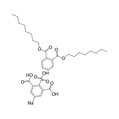 CCCCCCCCOC(=O)c1ccccc1C(=O)OCCCCCCCC.O=C(O)c1c[c]([Na])cc(C(=O)O)c1S(=O)(=O)O